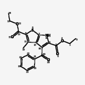 CCOC(=O)c1[nH]c2sc(C(=O)OCC)c(C)c2c1C(=O)c1ccccc1